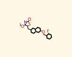 O=C1N=C(OI)C(Cc2ccc3cc(OCc4ccccc4F)ccc3c2)S1